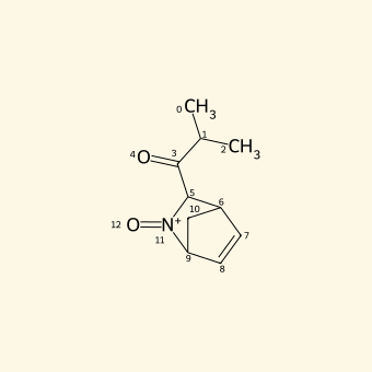 CC(C)C(=O)C1C2C=CC(C2)[N+]1=O